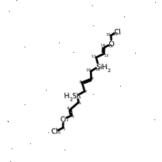 ClCOC=CC[SiH2]CC=CC[SiH2]CC=COCCl